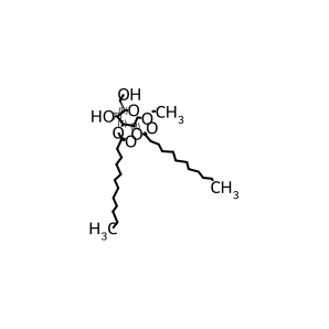 CCCCCCCCCCCC(=O)O[C@H]1[C@H](O)[C@@H](CO)OC(OCC)[C@@H]1OC(=O)CCCCCCCCCCC